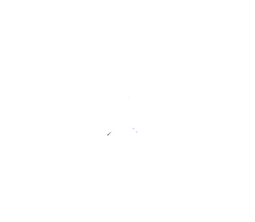 C[C@H]1CC2(CCO2)CCN1C